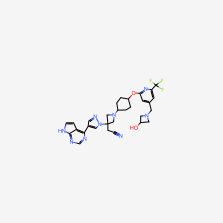 N#CCC1(n2cc(-c3ncnc4[nH]ccc34)cn2)CN(C2CCC(Oc3cc(CN4CC(O)C4)cc(C(F)(F)F)n3)CC2)C1